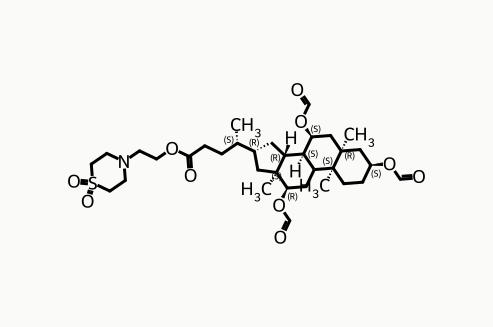 C[C@@H](CCC(=O)OCCN1CCS(=O)(=O)CC1)[C@@H]1C[C@@H]2[C@@H]3C(C[C@@H](OC=O)[C@@]2(C)C1)[C@]1(C)CC[C@H](OC=O)C[C@]1(C)C[C@@H]3OC=O